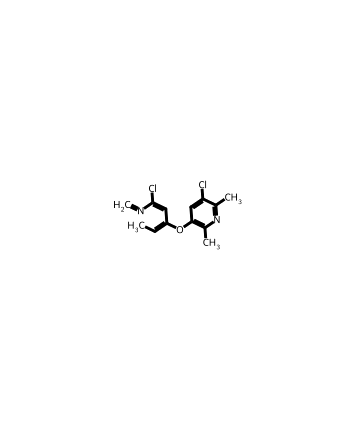 C=N/C(Cl)=C\C(=C/C)Oc1cc(Cl)c(C)nc1C